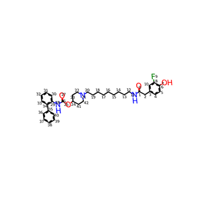 O=C(Cc1ccc(O)c(F)c1)NCCCCCCCCCN1CCC(OC(=O)Nc2ccccc2-c2ccccc2)CC1